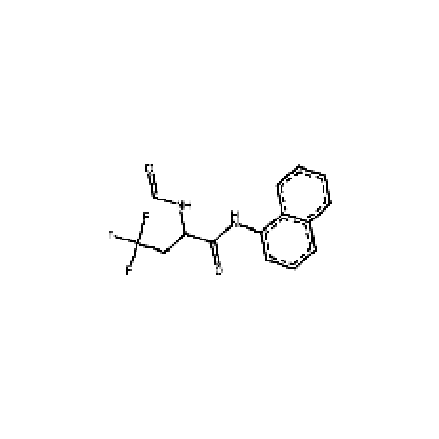 O=CNC(CC(F)(F)F)C(=O)Nc1cccc2ccccc12